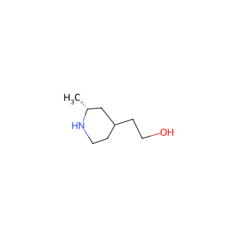 C[C@@H]1CC(CCO)CCN1